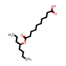 CCCCC(CCC)OC(=O)CCCCCCCCC(=O)O